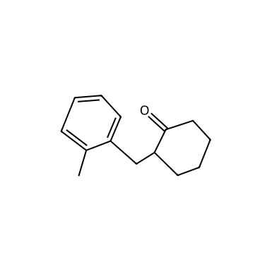 Cc1ccccc1CC1CCCCC1=O